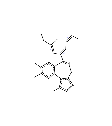 C\C=C/C=C(\C=C(/C)CC)C1=NCc2ncc(C)n2-c2cc(C)c(C)cc21